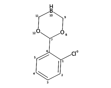 Clc1ccccc1C1OCBCO1